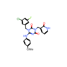 COc1ccc(Nc2nc(=O)n(Cc3ccc[nH]c3=O)c(=O)n2Cc2cc(F)cc(Cl)c2)cc1